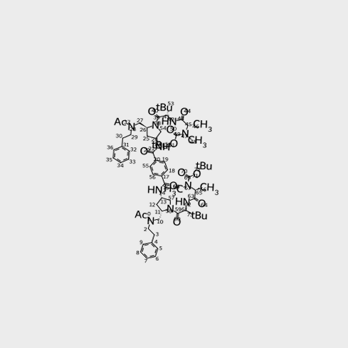 CC(=O)N(CCc1ccccc1)C[C@@H]1C[C@H](NC(=O)c2ccc(C(=O)N[C@H]3C[C@@H](CN(CCc4ccccc4)C(C)=O)N(C(=O)[C@@H](NC(=O)[C@H](C)N(C)C(=O)OC(C)(C)C)C(C)(C)C)C3)cc2)CN1C(=O)[C@@H](NC(=O)[C@H](C)N(C)C(=O)OC(C)(C)C)C(C)(C)C